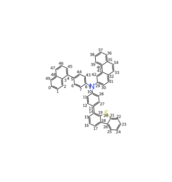 c1ccc2c(-c3ccc(N(c4ccc(-c5cccc6c5sc5ccccc56)cc4)c4ccc5ccc6ccccc6c5c4)cc3)cccc2c1